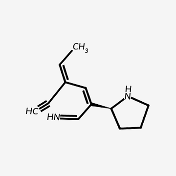 C#CC(/C=C(\C=N)[C@@H]1CCCN1)=C/C